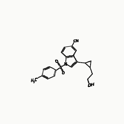 Cc1ccc(S(=O)(=O)n2cc(C3CC3CCO)c3cc(C#N)ccc32)cc1